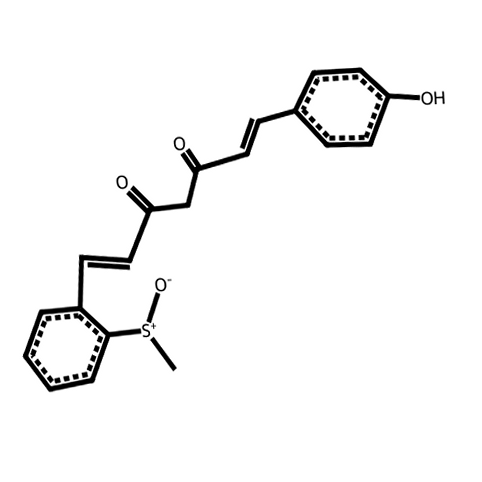 C[S+]([O-])c1ccccc1/C=C/C(=O)CC(=O)/C=C/c1ccc(O)cc1